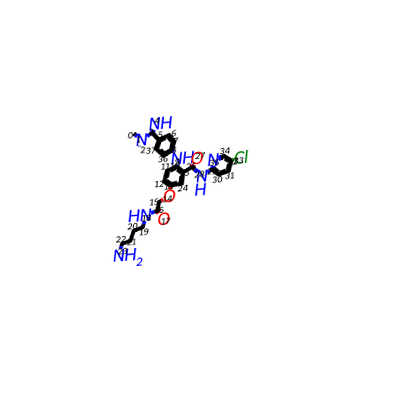 CN(C)C(=N)c1ccc(Nc2ccc(OCC(=O)NCCCCN)cc2C(=O)Nc2ccc(Cl)cn2)cc1